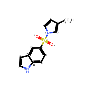 O=C(O)c1ccn(S(=O)(=O)c2ccc3[nH]ccc3c2)c1